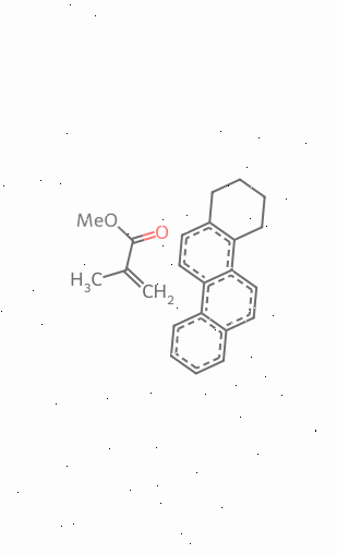 C=C(C)C(=O)OC.c1ccc2c(c1)ccc1c3c(ccc12)CCCC3